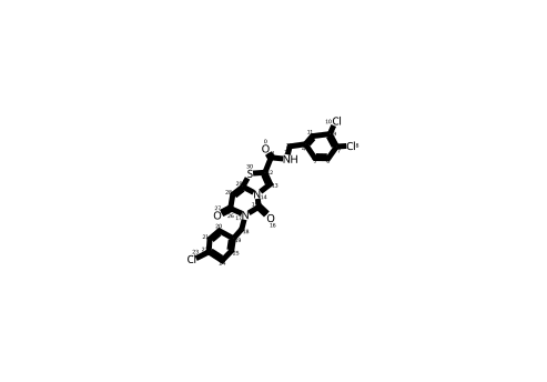 O=C(NCc1ccc(Cl)c(Cl)c1)c1cn2c(=O)n(Cc3ccc(Cl)cc3)c(=O)cc2s1